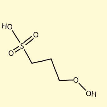 O=S(=O)(O)CCCOO